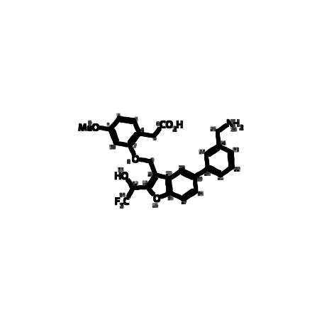 COc1ccc(CC(=O)O)c(OCc2c(C(O)C(F)(F)F)oc3ccc(-c4cccc(CN)c4)cc23)c1